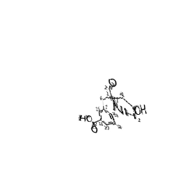 N[C@@](C=O)(CO)Cc1cccc(C(=O)O)c1